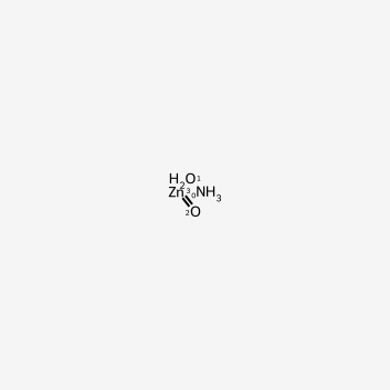 N.O.[O]=[Zn]